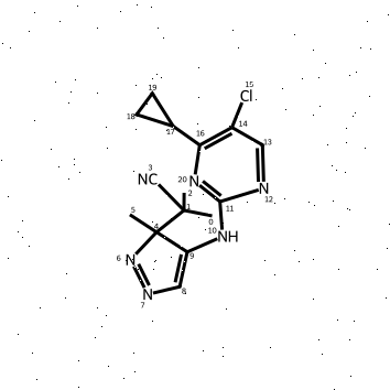 CC(C)(C#N)C1(C)N=NC=C1Nc1ncc(Cl)c(C2CC2)n1